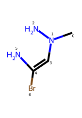 CN(N)/C=C(\N)Br